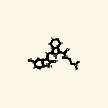 CN(C)CCNC(=O)c1[nH]c(/C=C2\C(=O)Nc3ccc(Br)cc32)c2c1CCCC2